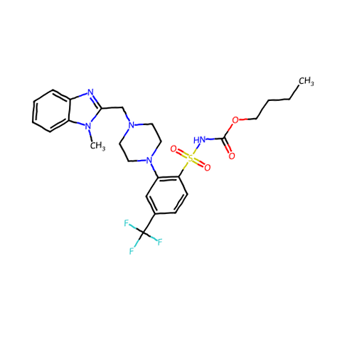 CCCCOC(=O)NS(=O)(=O)c1ccc(C(F)(F)F)cc1N1CCN(Cc2nc3ccccc3n2C)CC1